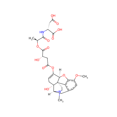 COc1ccc2c3c1O[C@@H]1C(OC(=O)C[C@H](O)C(=O)O[C@@H](C)C(=O)N[C@H](CC(=O)O)C(=O)O)=CC[C@]4(O)[C@H](C2)N(C)CC[C@@]314